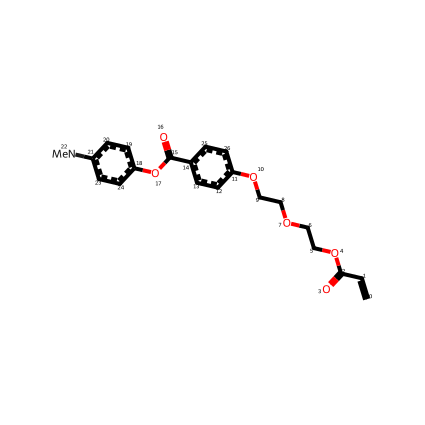 C=CC(=O)OCCOCCOc1ccc(C(=O)Oc2ccc(NC)cc2)cc1